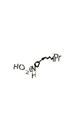 CC(C)CCCCC#Cc1ccc(NC(=O)O)cc1